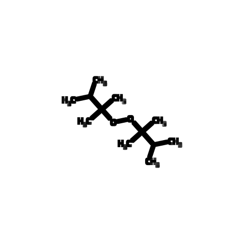 CC(C)C(C)(C)OOC(C)(C)C(C)C